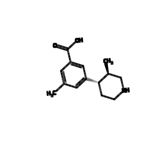 Cc1cc(C(=O)O)cc([C@H]2CCNC[C@@H]2C)c1